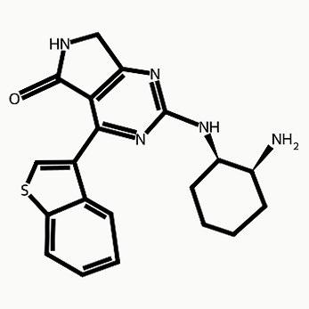 N[C@H]1CCCC[C@H]1Nc1nc2c(c(-c3csc4ccccc34)n1)C(=O)NC2